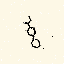 CCC(=O)c1ccc(C2CCCCC2)cc1